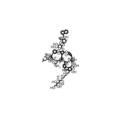 CCC1(NCc2cccc3ccccc23)C[C@H](O[C@@H]2C(O)C(O)[C@@H](CO)O[C@H]2Oc2c3cc4cc2Oc2ccc(cc2Cl)[C@@H](O)[C@@H](NC(=O)[C@@H](CC(C)C)NC)C(=O)NC(CC(N)=O)C(=O)N[C@H]4C(=O)N[C@H]2C(=O)N[C@H](C(=O)N[C@H](C(=O)O)c4cc(O)c(CNCCCNC(=O)[C@H](O)[C@@H](O)[C@H](O)[C@H](O)CO)c(O)c4-c4cc2ccc4O)[C@H](O)c2ccc(c(Cl)c2)O3)C[C@@H](C)[C@H]1O